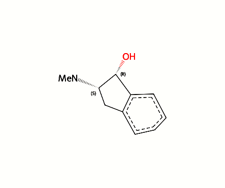 CN[C@H]1Cc2ccccc2[C@H]1O